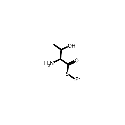 CC(C)SC(=O)C(N)C(C)O